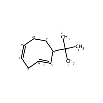 CC(C)(C)C1/C=C/C/C=C\CC1